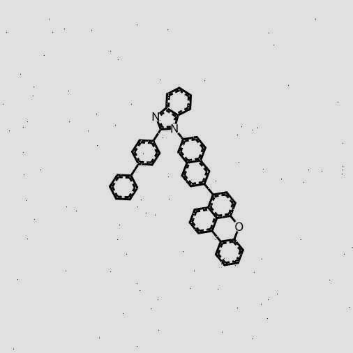 c1ccc(-c2ccc(-c3nc4ccccc4n3-c3ccc4cc(-c5ccc6c7c(cccc57)-c5ccccc5O6)ccc4c3)cc2)cc1